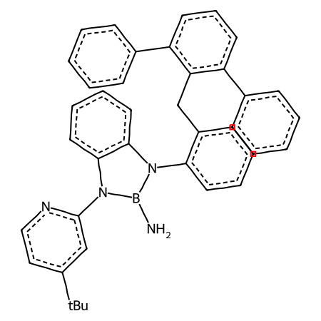 CC(C)(C)c1ccnc(N2B(N)N(c3ccccc3Cc3c(-c4ccccc4)cccc3-c3ccccc3)c3ccccc32)c1